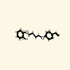 C=Cc1ccc(OCCCCOc2ccccc2C)cc1